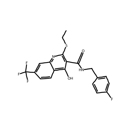 CCSc1nc2cc(C(F)(F)F)ccc2c(O)c1C(=O)NCc1ccc(F)cc1